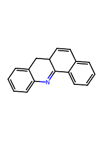 C1=CC2Cc3ccccc3N=C2c2ccccc21